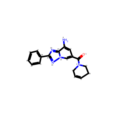 Nc1cc(C(=O)N2CC=CCC2)cn2nc(-c3ccccc3)nc12